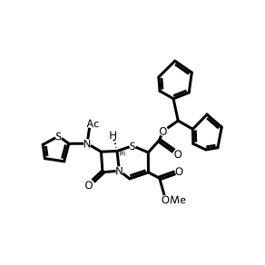 COC(=O)C1=CN2C(=O)C(N(C(C)=O)c3cccs3)[C@H]2SC1C(=O)OC(c1ccccc1)c1ccccc1